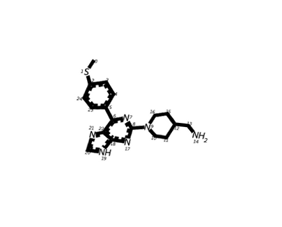 CSc1ccc(-c2nc(N3CCC(CN)CC3)nc3[nH]cnc23)cc1